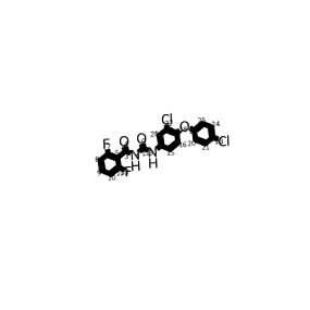 O=C(NC(=O)c1c(F)cccc1F)Nc1ccc(Oc2ccc(Cl)cc2)c(Cl)c1